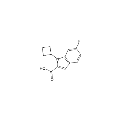 O=C(O)c1cc2ccc(F)cc2n1C1CCC1